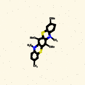 COc1ccc2c(c1)sc1c(OC)c3c(sc4cc(C)ccc4n3C)c(OC)c1n2C